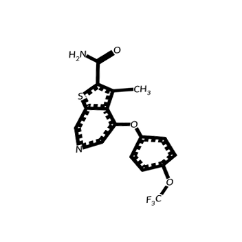 Cc1c(C(N)=O)sc2cncc(Oc3ccc(OC(F)(F)F)cc3)c12